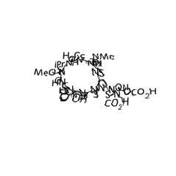 CNC(=O)C[C@@H]1NC(=O)c2csc(n2)-c2ccc(-c3nc(N(CCCC(=O)O)C(=O)c4ccc(C(=O)O)cn4)cs3)nc2-c2csc(n2)-c2csc(n2)[C@H]([C@@H](O)c2ccccc2)NC(=O)CNC(=O)c2nc(sc2COC)C(C(C)C)NC(=O)c2nc1sc2C